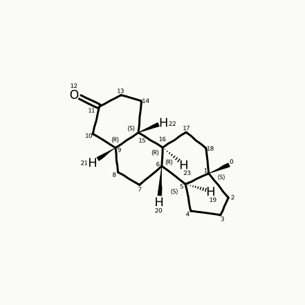 C[C@@]12CCC[C@H]1[C@@H]1CC[C@@H]3CC(=O)CC[C@@H]3[C@H]1CC2